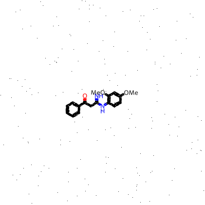 COc1ccc(NC(=N)CC(=O)c2ccccc2)c(OC)c1